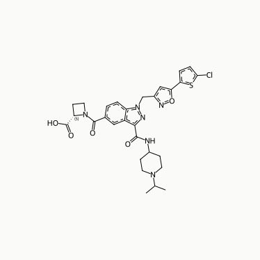 CC(C)N1CCC(NC(=O)c2nn(Cc3cc(-c4ccc(Cl)s4)on3)c3ccc(C(=O)N4CC[C@H]4C(=O)O)cc23)CC1